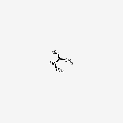 CC(NC(C)(C)C)C(C)(C)C